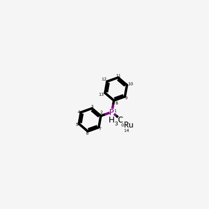 CP(c1ccccc1)c1ccccc1.[Ru]